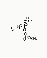 C=CC(=O)Oc1cccc(N(c2ccc(-c3ccc(N(c4ccccc4)c4ccc(C)cc4)cc3)cc2)c2cccc(OC(=O)C=C)c2)c1